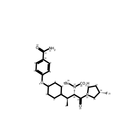 C[C@@H](C1CCC(Oc2ccc(C(N)=O)cc2)CC1)[C@@H](C(=O)N1CC[C@H](F)C1)N(C(=O)O)C(C)(C)C